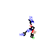 Clc1ccc(COc2ccc(OCCc3c[nH]cn3)c(CNCC3CCNC3)c2)c(Br)c1